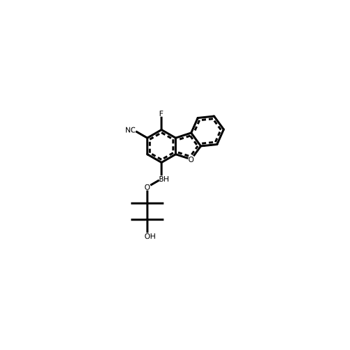 CC(C)(O)C(C)(C)OBc1cc(C#N)c(F)c2c1oc1ccccc12